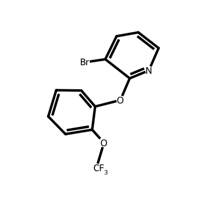 FC(F)(F)Oc1ccccc1Oc1ncccc1Br